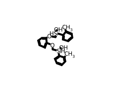 Cc1ccccc1[SiH](O)COc1ccccc1OC[SiH](O)c1ccccc1C